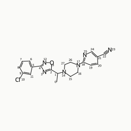 CC(c1nc(-c2cccc(Cl)c2)no1)N1CCN(c2ccc(C#N)cn2)CC1